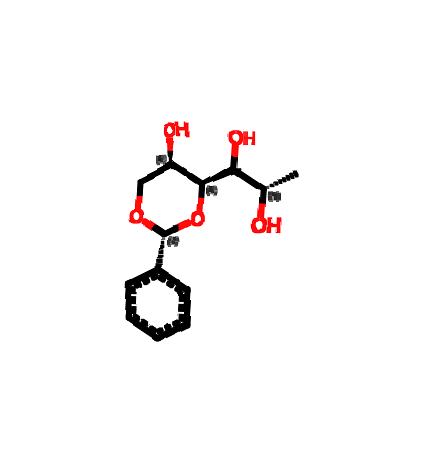 C[C@H](O)[C](O)[C@H]1O[C@H](c2ccccc2)OC[C@H]1O